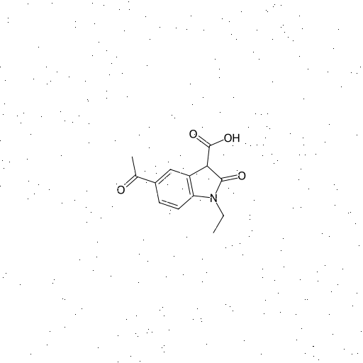 CCN1C(=O)C(C(=O)O)c2cc(C(C)=O)ccc21